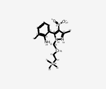 Cc1cccc(-c2c([N+](=O)[O-])c(C)nn2COCC[Si](C)(C)C)c1N